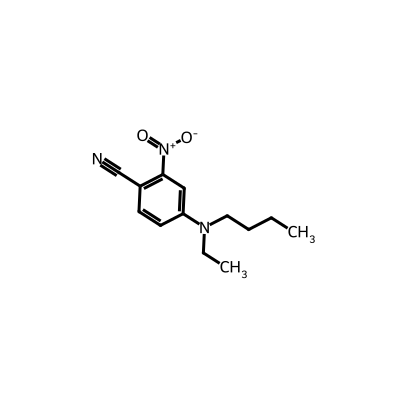 CCCCN(CC)c1ccc(C#N)c([N+](=O)[O-])c1